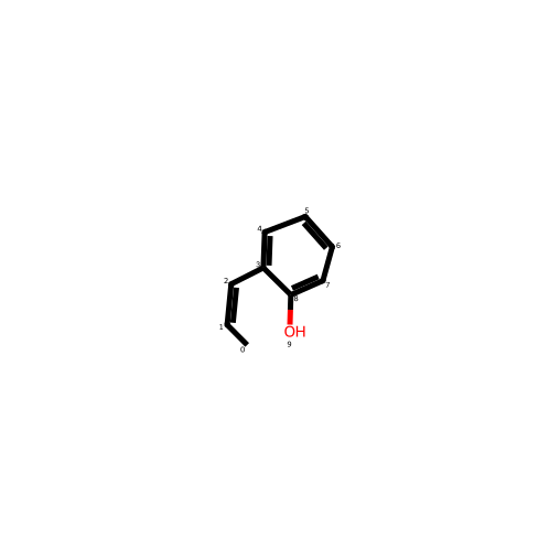 C/C=C\c1c[c]ccc1O